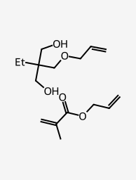 C=CCOC(=O)C(=C)C.C=CCOCC(CC)(CO)CO